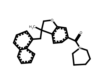 CC1(Cc2cccc3ccccc23)COc2cc(C(=O)N3CCCCC3)ccc21